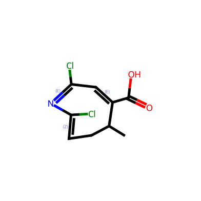 CC1C/C=C(Cl)/N=C(Cl)\C=C/1C(=O)O